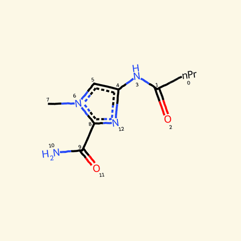 CCCC(=O)Nc1cn(C)c(C(N)=O)n1